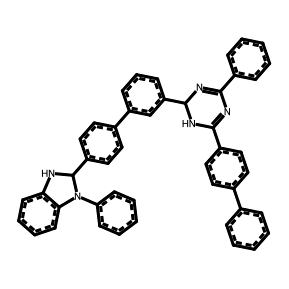 c1ccc(C2=NC(c3cccc(-c4ccc(C5Nc6ccccc6N5c5ccccc5)cc4)c3)NC(c3ccc(-c4ccccc4)cc3)=N2)cc1